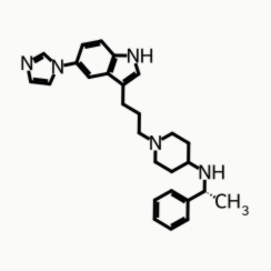 C[C@@H](NC1CCN(CCCc2c[nH]c3ccc(-n4ccnc4)cc23)CC1)c1ccccc1